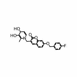 CC1=C(O)C(O)C=CN1Cc1cc2ccc(OCc3ccc(F)cc3)cc2oc1=O